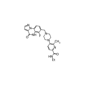 CCNC(=O)c1ccc(N2CCN(Cc3ccc4c([nH]c(=O)c5ccnn54)c3F)CC2)c(C)n1